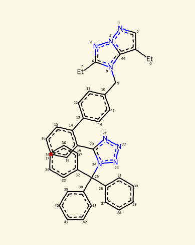 CCc1cnn2nc(CC)n(Cc3ccc(-c4ccccc4-c4nnnn4C(c4ccccc4)(c4ccccc4)c4ccccc4)cc3)c12